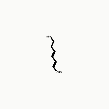 CCCCCCC=CC=C[C]=O